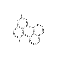 Cc1cc2ccc(C)c3c4cccc5cccc(c(c1)c23)c54